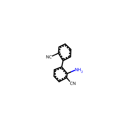 N#Cc1ccccc1-c1cccc(C#N)c1N